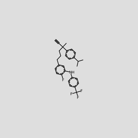 C#CC(C)(CCCc1ccc(F)c(Nc2ccc(C(F)(F)F)cc2)c1)c1ccc(C(C)C)cc1